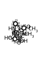 COc1ccc(C2(CCN(C)C)Sc3ccccc3NC(=O)C2O)cc1.Nc1cc(S(=O)(=O)O)ccc1O